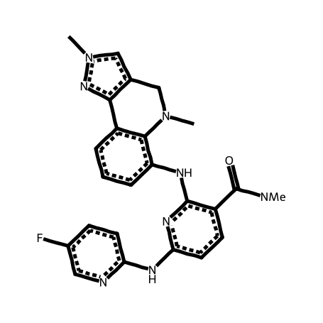 CNC(=O)c1ccc(Nc2ccc(F)cn2)nc1Nc1cccc2c1N(C)Cc1cn(C)nc1-2